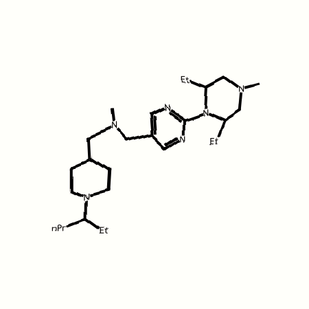 CCCC(CC)N1CCC(CN(C)Cc2cnc(N3C(CC)CN(C)CC3CC)nc2)CC1